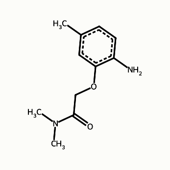 Cc1ccc(N)c(OCC(=O)N(C)C)c1